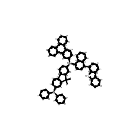 CC1(C)c2cc(N(c3ccccc3)c3ccccc3)ccc2-c2ccc(N(c3ccc4c5ccccc5c5ccccc5c4c3)c3ccc(-c4cccc5c4sc4ccccc45)c4ccccc34)cc21